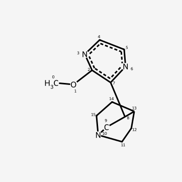 COc1nccnc1C1CN2CCC1CC2